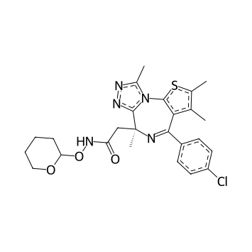 Cc1sc2c(c1C)C(c1ccc(Cl)cc1)=N[C@@](C)(CC(=O)NOC1CCCCO1)c1nnc(C)n1-2